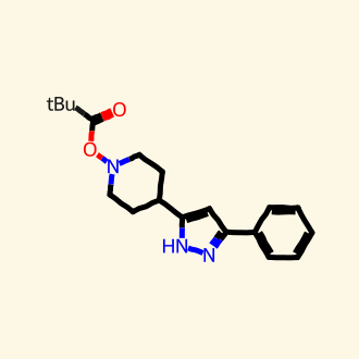 CC(C)(C)C(=O)ON1CCC(c2cc(-c3ccccc3)n[nH]2)CC1